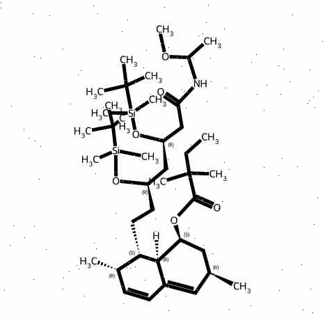 CCC(C)(C)C(=O)O[C@H]1C[C@@H](C)C=C2C=C[C@H](C)[C@H](CC[C@H](C[C@H](CC(=O)NC(C)OC)O[Si](C)(C)C(C)(C)C)O[Si](C)(C)C(C)(C)C)[C@H]21